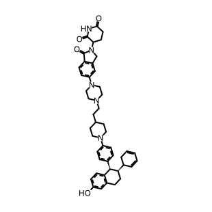 O=C1CCC(N2Cc3cc(N4CCN(CCC5CCN(c6ccc([C@@H]7c8ccc(O)cc8CC[C@@H]7C7C=CC=CC7)cc6)CC5)CC4)ccc3C2=O)C(=O)N1